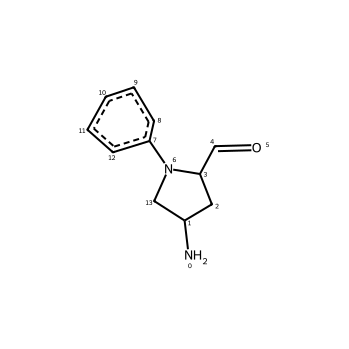 NC1CC(C=O)N(c2ccccc2)C1